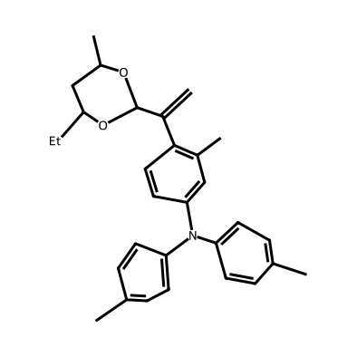 C=C(c1ccc(N(c2ccc(C)cc2)c2ccc(C)cc2)cc1C)C1OC(C)CC(CC)O1